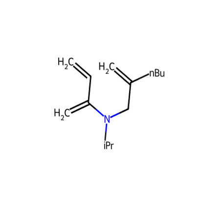 C=CC(=C)N(CC(=C)CCCC)C(C)C